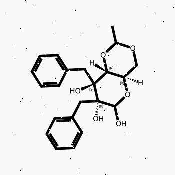 CC1OC[C@H]2OC(O)[C@@](O)(Cc3ccccc3)[C@](O)(Cc3ccccc3)[C@@H]2O1